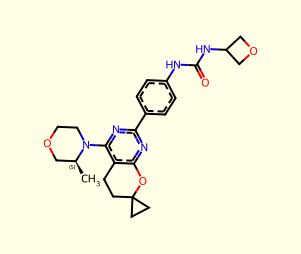 C[C@H]1COCCN1c1nc(-c2ccc(NC(=O)NC3COC3)cc2)nc2c1CCC1(CC1)O2